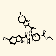 CCOC(=O)[C@H]1CC[C@H](NC(=O)C2=CC3C=C(Cl)C=CC3N2)[C@H](NC(=O)c2nc3c(s2)CN(C)CC3)C1